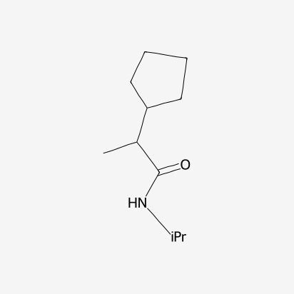 CC(C)NC(=O)C(C)C1CCCC1